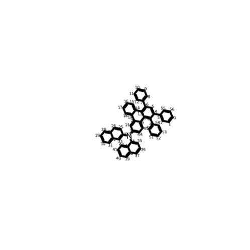 c1ccc(-c2cc(-c3ccccc3)c3c4ccccc4c4cc(N(c5ccc6ccccc6c5)c5cccc6ccccc56)ccc4c3c2-c2ccccc2)cc1